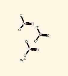 O=[Si]([O-])[O-].O=[Si]([O-])[O-].O=[Si]([O-])[O-].[W+6]